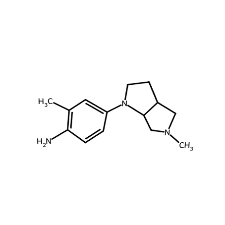 Cc1cc(N2CCC3CN(C)CC32)ccc1N